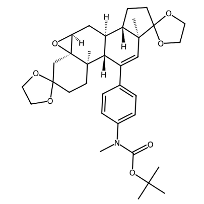 CN(C(=O)OC(C)(C)C)c1ccc(C2=C[C@@]3(C)[C@@H](CCC34OCCO4)[C@@H]3C[C@@H]4O[C@@]45CC4(CC[C@]5(C)[C@@H]23)OCCO4)cc1